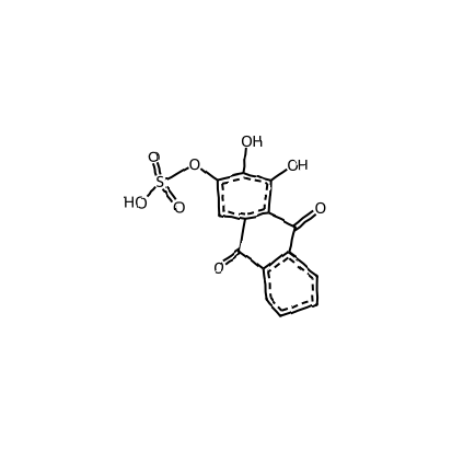 O=C1c2ccccc2C(=O)c2c1cc(OS(=O)(=O)O)c(O)c2O